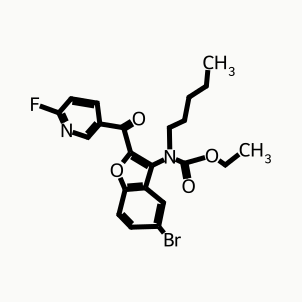 CCCCCN(C(=O)OCC)c1c(C(=O)c2ccc(F)nc2)oc2ccc(Br)cc12